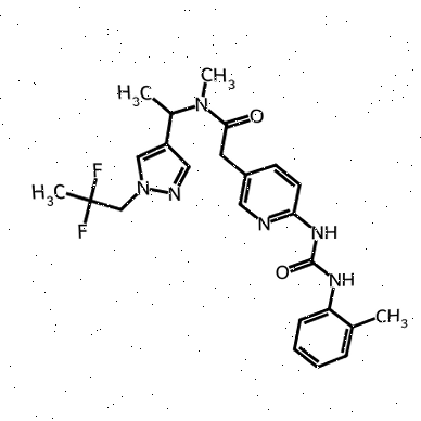 Cc1ccccc1NC(=O)Nc1ccc(CC(=O)N(C)C(C)c2cnn(CC(C)(F)F)c2)cn1